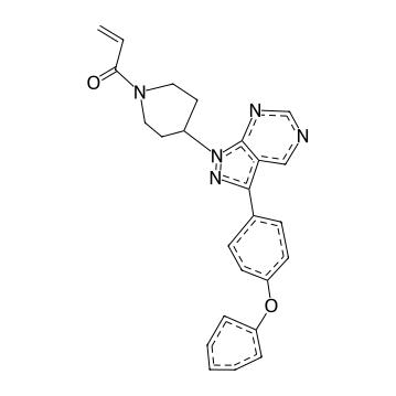 C=CC(=O)N1CCC(n2nc(-c3ccc(Oc4ccccc4)cc3)c3cncnc32)CC1